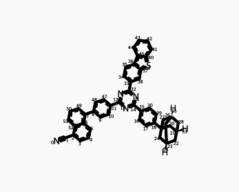 N#Cc1cccc2c(-c3ccc(-c4nc(-c5ccc(C67C[C@H]8C[C@H](C6)C[C@@H](C7)C8)cc5)nc(-c5ccc6c(c5)sc5ccccc56)n4)cc3)cccc12